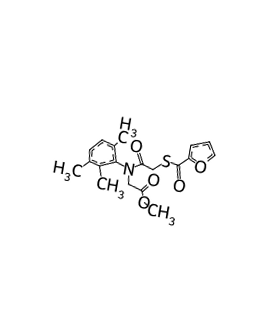 COC(=O)CN(C(=O)CSC(=O)c1ccco1)c1c(C)ccc(C)c1C